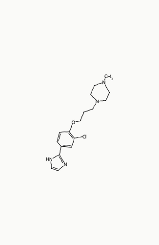 CN1CCN(CCCOc2ccc(-c3ncc[nH]3)cc2Cl)CC1